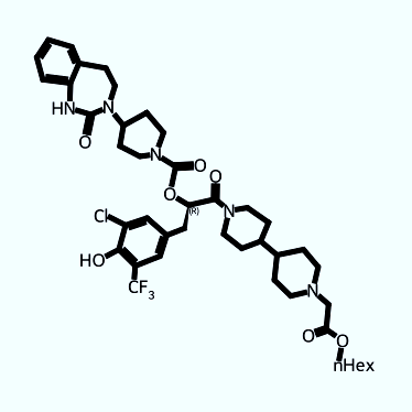 CCCCCCOC(=O)CN1CCC(C2CCN(C(=O)[C@@H](Cc3cc(Cl)c(O)c(C(F)(F)F)c3)OC(=O)N3CCC(N4CCc5ccccc5NC4=O)CC3)CC2)CC1